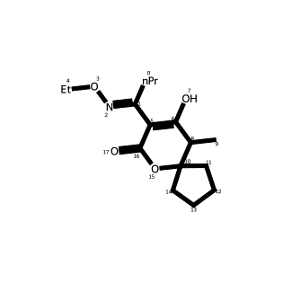 CCC/C(=N\OCC)C1=C(O)C(C)C2(CCCC2)OC1=O